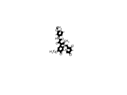 COC1=CC2C(C(=O)C(=O)Nc3ccnc(OC)c3)=C(C)N(Cc3ncc(Cl)cc3Cl)C2C=C1Cl